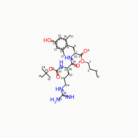 CCCCOC(=O)[C@H](Cc1c(C)cc(O)cc1C)NC(=O)[C@@H](CCCNC(=N)N)NC(=O)OC(C)(C)C